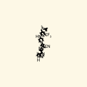 CN(Cc1cc(NC2CCN(C3CC(CC#N)(n4cc(-c5ncnc6[nH]ccc56)cn4)C3)CC2)nc(C(F)(F)F)c1)C1CC1